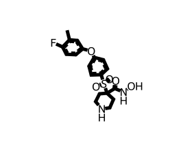 Cc1cc(Oc2ccc(S(=O)(=O)C3(C(=O)NO)CCNCC3)cc2)ccc1F